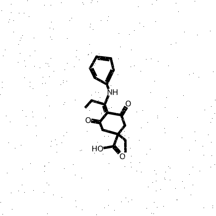 CCC(Nc1ccccc1)=C1C(=O)CC(CC)(C(=O)O)CC1=O